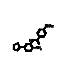 C=C(Nc1cc(-c2cccs2)ccc1N)c1ccc(NC(C)=O)cc1